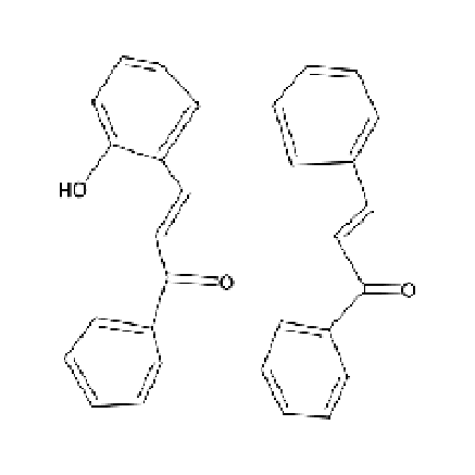 O=C(C=Cc1ccccc1)c1ccccc1.O=C(C=Cc1ccccc1O)c1ccccc1